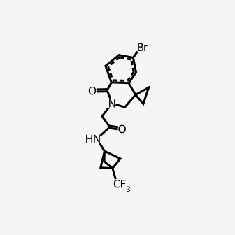 O=C(CN1CC2(CC2)c2cc(Br)ccc2C1=O)NC12CC(C(F)(F)F)(C1)C2